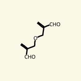 C=C(C=O)COCC(=C)C=O